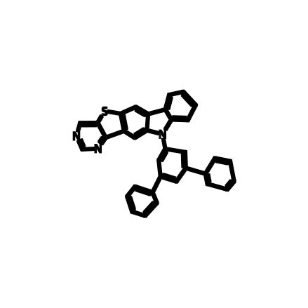 c1ccc(-c2cc(-c3ccccc3)cc(-n3c4ccccc4c4cc5sc6cncnc6c5cc43)c2)cc1